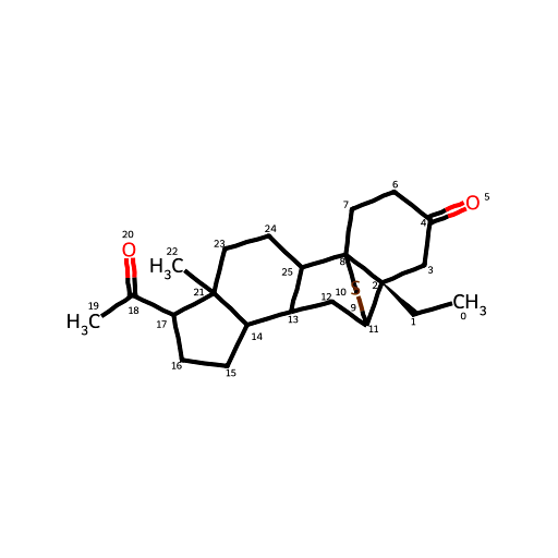 CC[C@]12CC(=O)CCC13CSC2CC1C2CCC(C(C)=O)C2(C)CCC13